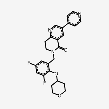 O=C1c2cc(-c3ccncc3)cnc2CCN1Cc1cc(F)cc(F)c1OC1CCOCC1